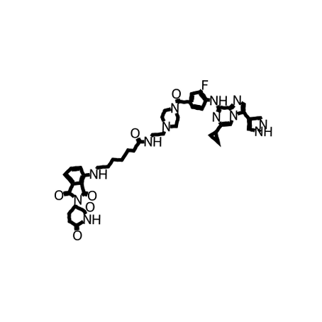 O=C(CCCCCCNc1cccc2c1C(=O)N(C1CCC(=O)NC1=O)C2=O)NCCN1CCN(C(=O)c2ccc(Nc3nc(C4CC4)cn4c(-c5cn[nH]c5)cnc34)c(F)c2)CC1